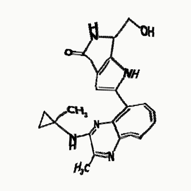 Cc1nc2cccc(-c3cc4c([nH]3)C(CO)NC4=O)c2nc1NC1(C)CC1